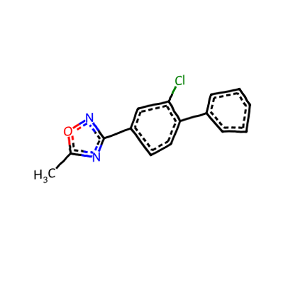 Cc1nc(-c2ccc(-c3ccccc3)c(Cl)c2)no1